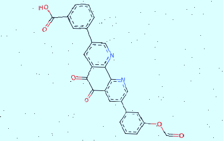 O=COc1cccc(-c2cnc3c(c2)C(=O)C(=O)c2cc(-c4cccc(C(=O)O)c4)cnc2-3)c1